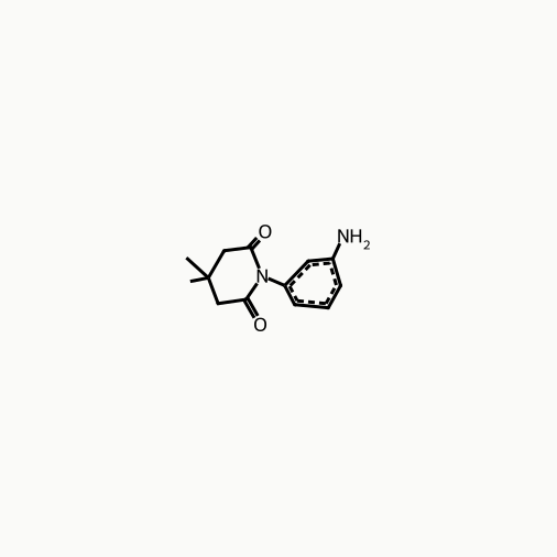 CC1(C)CC(=O)N(c2cccc(N)c2)C(=O)C1